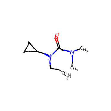 CN(C)C(=O)N(CC(=O)O)C1CC1